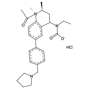 CCN(C(=O)[O-])C1C[C@H](C)[N@+](C)(C(C)=O)c2ccc(-c3ccc(CN4CCCC4)cc3)cc21.Cl